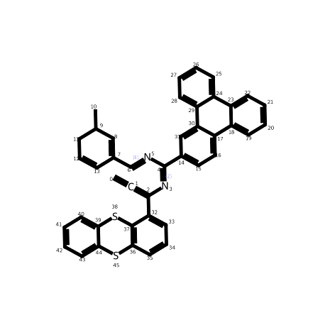 C=C=C(/N=C(\N=C\C1=CC(C)CC=C1)c1ccc2c3ccccc3c3ccccc3c2c1)c1cccc2c1Sc1ccccc1S2